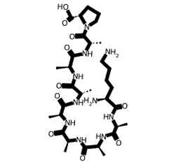 C[C@H](NC(=O)[C@H](C)NC(=O)[C@H](C)NC(=O)[C@H](C)NC(=O)[C@@H](N)CCCCN)C(=O)N[C@@H](C)C(=O)N[C@@H](C)C(=O)N[C@@H](C)C(=O)N1CCC[C@H]1C(=O)O